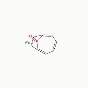 CCCCCP1(=O)C2=CC=CC=C1CC2